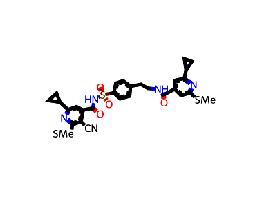 CSc1cc(C(=O)NCCc2ccc(S(=O)(=O)NC(=O)c3cc(C4CC4)nc(SC)c3C#N)cc2)cc(C2CC2)n1